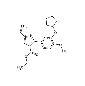 C=Cn1cc(C(=O)OCC)c(-c2ccc(OC)c(OC3CCCC3)c2)n1